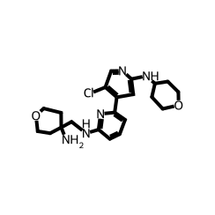 NC1(CNc2cccc(-c3cc(NC4CCOCC4)ncc3Cl)n2)CCOCC1